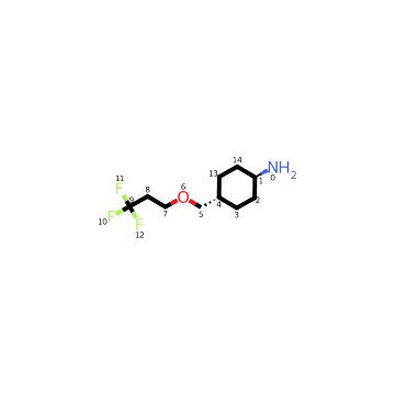 N[C@H]1CC[C@H](COCCC(F)(F)F)CC1